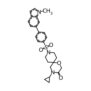 Cn1ccc2ccc(-c3ccc(S(=O)(=O)N4CCC5(CC4)CN(C4CC4)C(=O)CO5)cc3)cc21